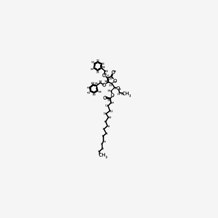 CCCCCCCCCCCCCCCC(=O)OC[C@H](OCC)[C@H]1OC(=O)C(OCc2ccccc2)=C1OCc1ccccc1